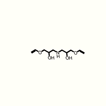 C=COCC(O)CNCC(O)COC=C